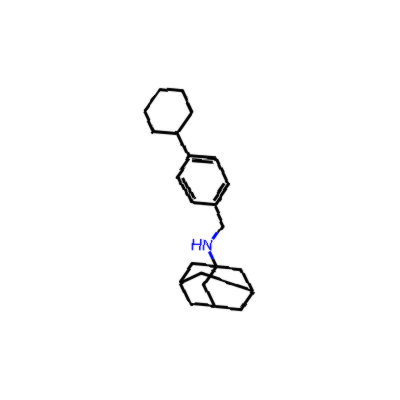 c1cc(C2CCCCC2)ccc1CNC12CC3CC(CC(C3)C1)C2